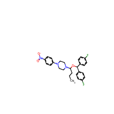 CCCC(OC(c1ccc(F)cc1)c1ccc(F)cc1)N1CCN(c2ccc([N+](=O)[O-])cc2)CC1